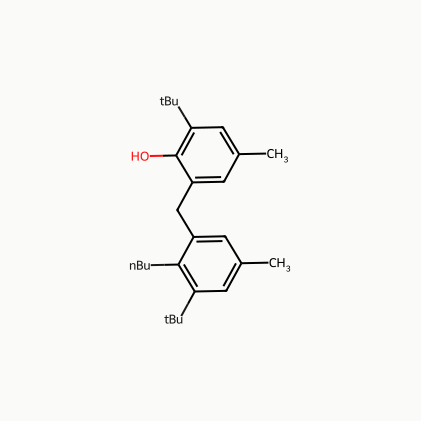 CCCCc1c(Cc2cc(C)cc(C(C)(C)C)c2O)cc(C)cc1C(C)(C)C